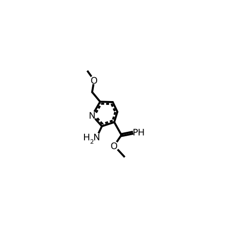 COCc1ccc(C(=P)OC)c(N)n1